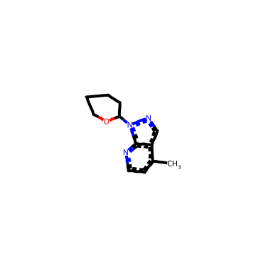 Cc1ccnc2c1cnn2C1CCCCO1